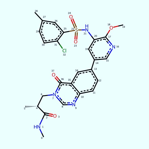 CNC(=O)[C@H](C)Cn1cnc2ccc(-c3cnc(OC)c(NS(=O)(=O)c4cc(C)ccc4Cl)c3)cc2c1=O